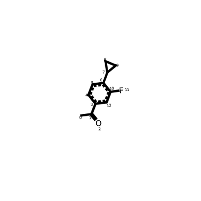 CC(=O)c1ccc(C2CC2)c(F)c1